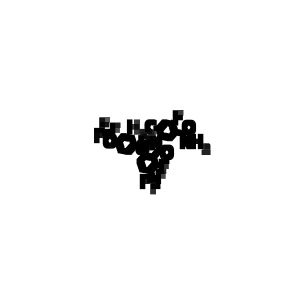 Cc1cc(F)c(C(N)=O)cc1NC(=O)c1c(Oc2ccc(OC(F)(F)F)cc2)ccc(C(F)(F)F)c1F